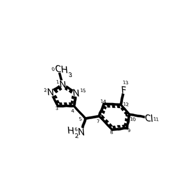 Cn1ncc(C(N)c2ccc(Cl)c(F)c2)n1